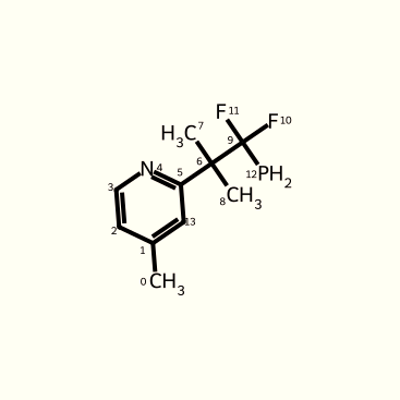 Cc1ccnc(C(C)(C)C(F)(F)P)c1